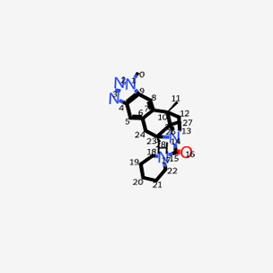 Cn1nnc2cc3c(cc21)[C@]1(C)CCN(C(=O)N2CCCCC2)[C@H](C3)C1(C)C